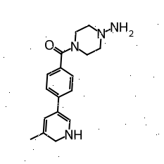 CC1=CC(c2ccc(C(=O)N3CCN(N)CC3)cc2)=CNC1